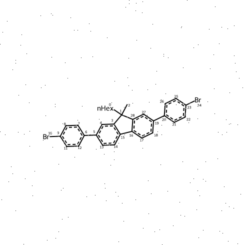 CCCCCCC1(C)c2cc(-c3ccc(Br)cc3)ccc2-c2ccc(-c3ccc(Br)cc3)cc21